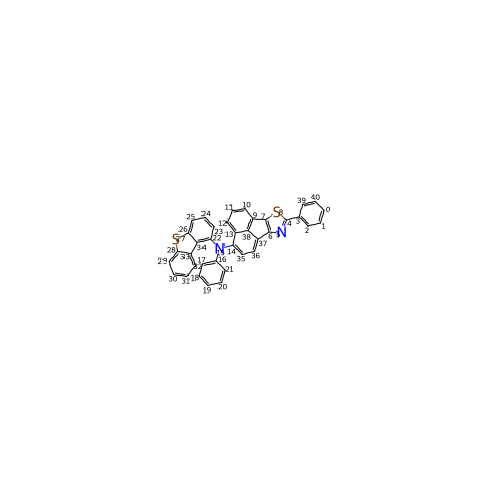 c1ccc(-c2nc3c(s2)-c2cccc4c(N(c5ccccc5)c5cccc6sc7ccccc7c56)ccc-3c24)cc1